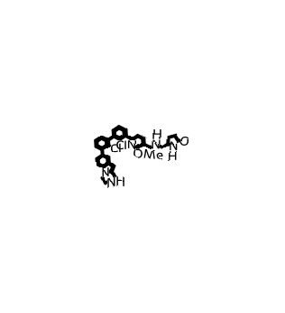 COc1nc(-c2cccc(-c3cccc(-c4ccc5c(c4)cc4n5CCNC4)c3Cl)c2Cl)ccc1CNCC1CCC(=O)N1